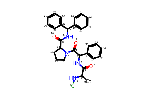 CCC(NCl)C(=O)NC(C(=O)N1CCCC1C(=O)NC(c1ccccc1)c1ccccc1)c1ccccc1